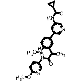 C=C(C(=O)Nc1ccc(OC)nc1)c1cc(-c2cncc(NC(=O)C3CC3)c2)ccc1NC